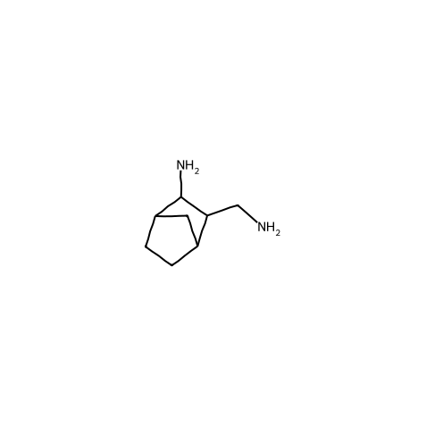 NCC1C2CCC(C2)C1N